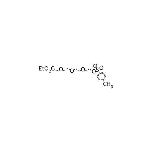 CCOC(=O)COCCOCCOCCOS(=O)(=O)c1ccc(C)cc1